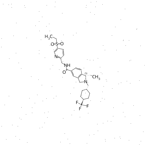 CC[C@H]1c2ccc(C(=O)NCc3ccc(S(=O)(=O)CC)cn3)cc2CN1C[C@H]1CC[C@H](C(F)(F)F)CC1